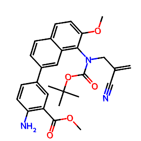 C=C(C#N)CN(C(=O)OC(C)(C)C)c1c(OC)ccc2ccc(-c3ccc(N)c(C(=O)OC)c3)cc12